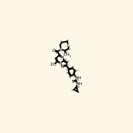 CCc1cc(C(=O)N2CCCCCC2C)nc2cc(-c3ccc(NC(=S)NC4CC4)cc3)nn12